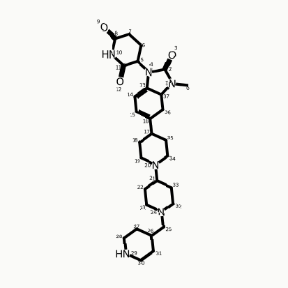 CN1C(=O)N(C2CCC(=O)NC2=O)C2=CC=C(C3CCN(C4CCN(CC5CCNCC5)CC4)CC3)CC21